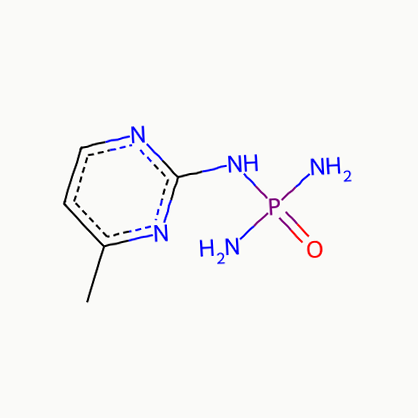 Cc1ccnc(NP(N)(N)=O)n1